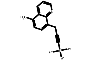 Cc1ccc(CC#C[Si](C(C)C)(C(C)C)C(C)C)c2ncccc12